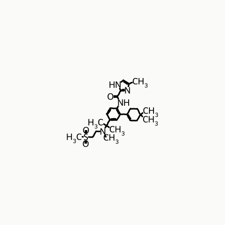 Cc1c[nH]c(C(=O)Nc2ccc(C(C)(C)N(C)CCS(C)(=O)=O)cc2C2=CCC(C)(C)CC2)n1